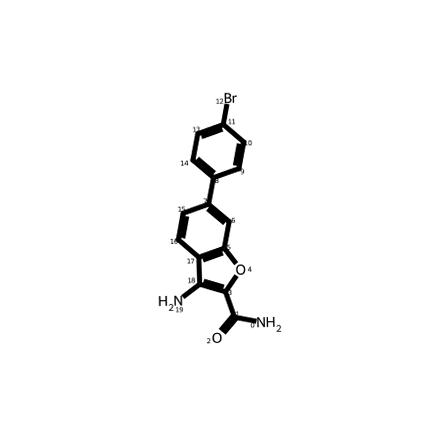 NC(=O)c1oc2cc(-c3ccc(Br)cc3)ccc2c1N